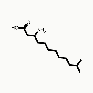 CC(C)CCCCCCCC(N)CC(=O)O